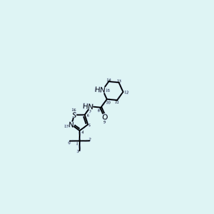 CC(C)(C)c1cc(NC(=O)C2CCCCN2)sn1